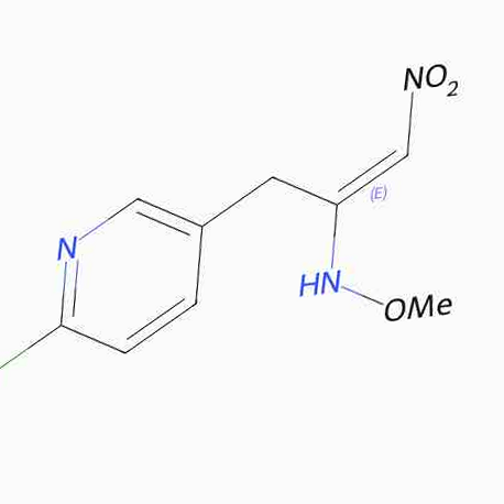 CON/C(=C/[N+](=O)[O-])Cc1ccc(Cl)nc1